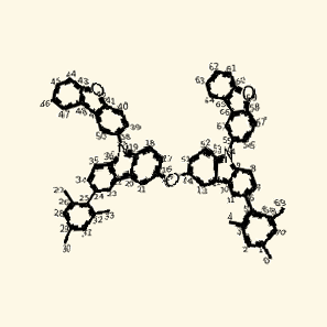 Cc1cc(C)c(-c2ccc3c(c2)c2cc(Oc4ccc5c(c4)c4cc(-c6c(C)cc(C)cc6C)ccc4n5-c4ccc5oc6ccccc6c5c4)ccc2n3-c2ccc3oc4ccccc4c3c2)c(C)c1